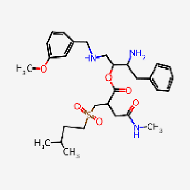 CNC(=O)CC(CS(=O)(=O)CCC(C)C)C(=O)OC(CNCc1cccc(OC)c1)C(N)Cc1ccccc1